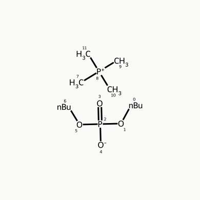 CCCCOP(=O)([O-])OCCCC.C[P+](C)(C)C